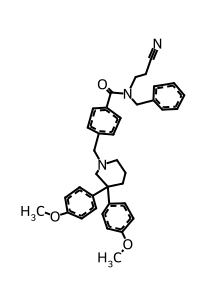 COc1ccc(C2(c3ccc(OC)cc3)CCCN(Cc3ccc(C(=O)N(CCC#N)Cc4ccccc4)cc3)C2)cc1